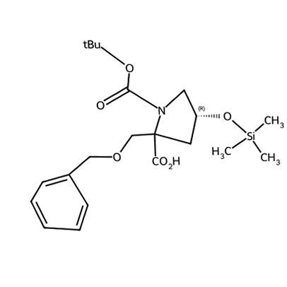 CC(C)(C)OC(=O)N1C[C@H](O[Si](C)(C)C)CC1(COCc1ccccc1)C(=O)O